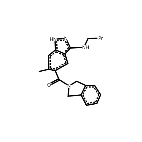 Cc1cc2[nH]nc(NCC(C)C)c2cc1C(=O)N1Cc2ccccc2C1